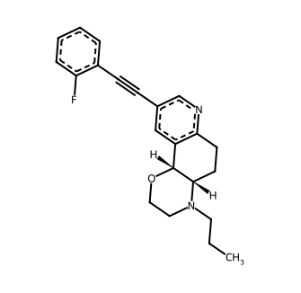 CCCN1CCO[C@@H]2c3cc(C#Cc4ccccc4F)cnc3CC[C@@H]21